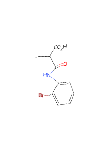 CC(C(=O)O)C(=O)Nc1ccccc1Br